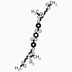 C=CC(=C)OC(COCCCCOC(=O)C=C)COc1ccc(C(=O)OC2CCC(OC(=O)c3ccc(OCC(COCCCCOC(=O)C=C)OC(=O)C=C)cc3)CC2)cc1